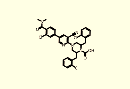 CN(C)C(=O)c1ccc(-c2cnc(N3CC(Cc4ccccc4Cl)N(C(=O)O)C(Cc4ccccc4Cl)C3)c(C#N)c2)cc1Cl